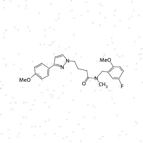 COc1ccc(-c2ccn(CCCC(=O)N(C)Cc3cc(F)ccc3OC)n2)cc1